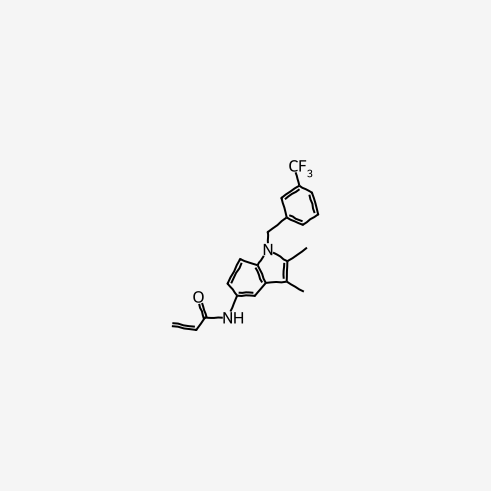 C=CC(=O)Nc1ccc2c(c1)c(C)c(C)n2Cc1cccc(C(F)(F)F)c1